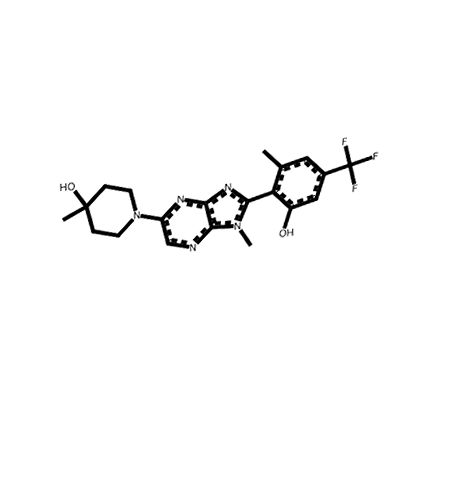 Cc1cc(C(F)(F)F)cc(O)c1-c1nc2nc(N3CCC(C)(O)CC3)cnc2n1C